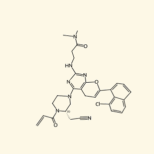 C=CC(=O)N1CCN(c2nc(NCCC(=O)N(C)C)nc3c2CC=C(c2cccc4cccc(Cl)c24)O3)C[C@@H]1CC#N